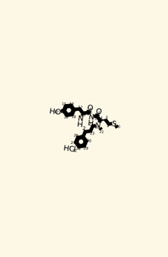 CSCC[C@H](C(=O)NC(=O)[C@@H](N)Cc1ccc(O)cc1)N(C)CCCc1ccccc1.Cl